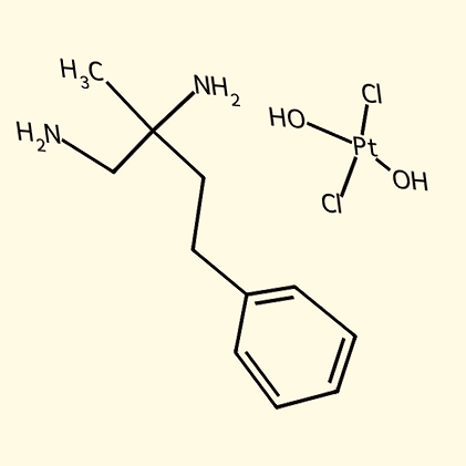 CC(N)(CN)CCc1ccccc1.[OH][Pt]([OH])([Cl])[Cl]